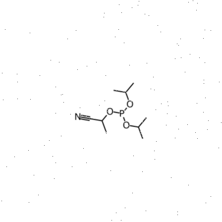 CC(C)OP(OC(C)C)OC(C)C#N